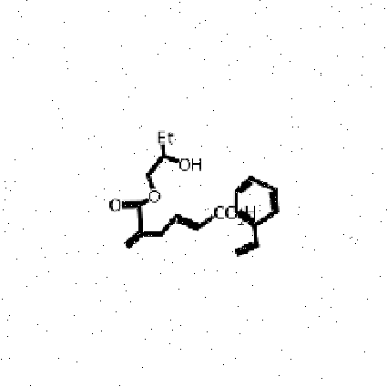 C=C(CC=CC(=O)O)C(=O)OCC(O)CC.C=Cc1ccccc1